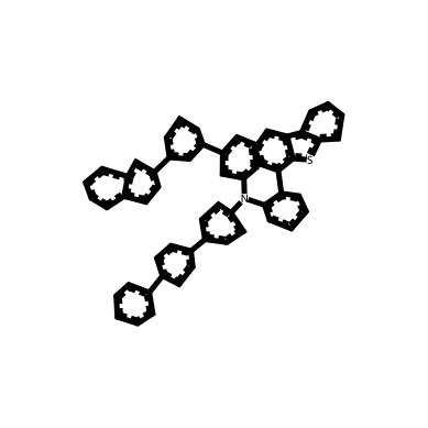 c1ccc(-c2ccc(-c3ccc(N(c4cccc(-c5cccc(-c6ccc7ccccc7c6)c5)c4)c4ccccc4-c4cccc5c4sc4ccccc45)cc3)cc2)cc1